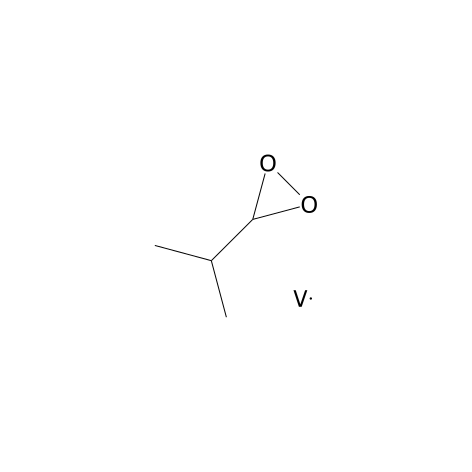 CC(C)C1OO1.[V]